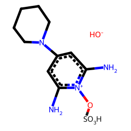 Nc1cc(N2CCCCC2)cc(N)[n+]1OS(=O)(=O)O.[OH-]